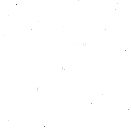 CC1CC(C)(C(=O)O)CN1C(=O)OC(C)(C)C